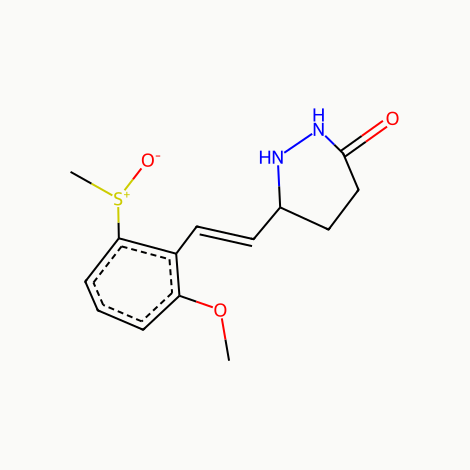 COc1cccc([S+](C)[O-])c1/C=C/C1CCC(=O)NN1